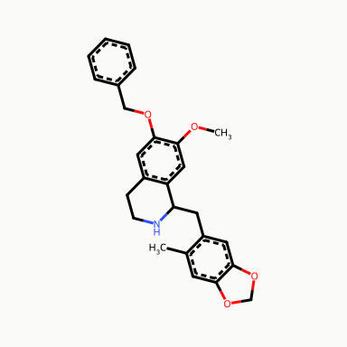 COc1cc2c(cc1OCc1ccccc1)CCNC2Cc1cc2c(cc1C)OCO2